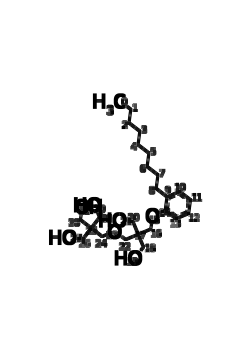 CCCCCCCCCc1ccccc1OCC(CO)(CO)COCC(CO)(CO)CO